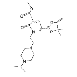 C=C1OB(c2cc(C(=O)OC)c(=O)n(CCN3CCN(C(C)C)CC3)c2)OC1(C)C